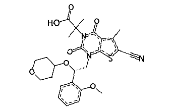 COc1ccccc1[C@@H](Cn1c(=O)n(C(C)(C)C(=O)O)c(=O)c2c(C)c(C#N)sc21)OC1CCOCC1